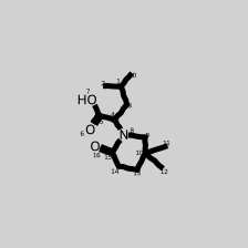 CC(C)CC(C(=O)O)N1CC(C)(C)CCC1=O